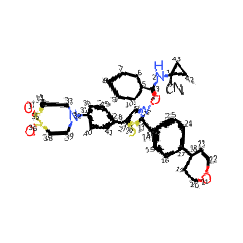 N#CC1(NC(=O)[C@@H]2CCCC[C@H]2c2nc(-c3ccc(C4CCOCC4)cc3)sc2-c2ccc(N3CCS(=O)(=O)CC3)cc2)CC1